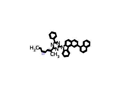 C=C/C=C\C=C(/C)c1nc(-c2ccccc2)nc(-n2c3ccccc3c3c4cc(-c5cccc6ccccc56)ccc4ccc32)n1